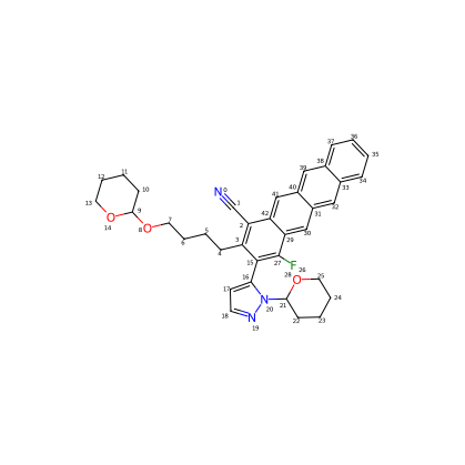 N#Cc1c(CCCCOC2CCCCO2)c(-c2ccnn2C2CCCCO2)c(F)c2cc3cc4ccccc4cc3cc12